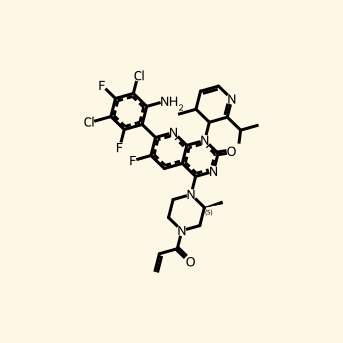 C=CC(=O)N1CCN(c2nc(=O)n(C3C(C(C)C)=NC=CC3C)c3nc(-c4c(N)c(Cl)c(F)c(Cl)c4F)c(F)cc23)[C@@H](C)C1